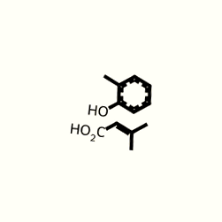 CC(C)=CC(=O)O.Cc1ccccc1O